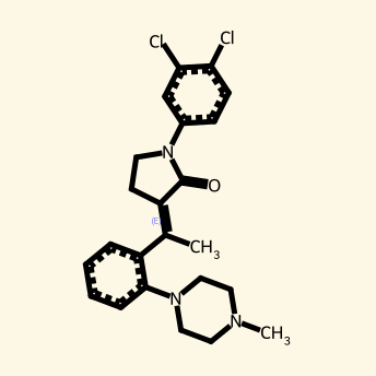 C/C(=C1/CCN(c2ccc(Cl)c(Cl)c2)C1=O)c1ccccc1N1CCN(C)CC1